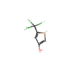 Oc1csc(C(F)(F)F)c1